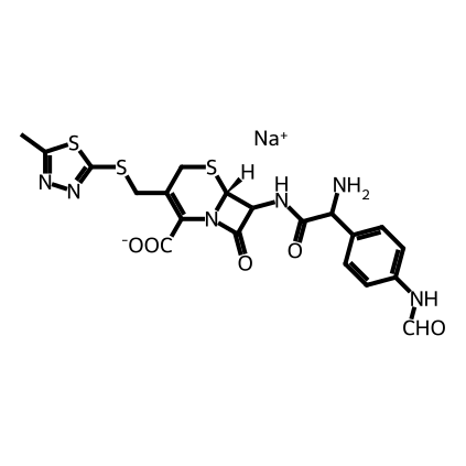 Cc1nnc(SCC2=C(C(=O)[O-])N3C(=O)C(NC(=O)C(N)c4ccc(NC=O)cc4)[C@H]3SC2)s1.[Na+]